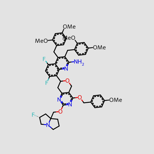 COc1ccc(COc2nc(OCC34CCCN3C[C@H](F)C4)nc3c2COC(c2c(F)cc(F)c4c(Cc5ccc(OC)cc5OC)c(Cc5ccc(OC)cc5OC)c(N)nc24)C3)cc1